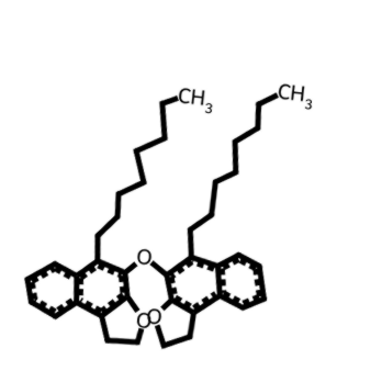 CCCCCCCCc1c(Oc2c3c(c4ccccc4c2CCCCCCCC)CCO3)c2c(c3ccccc13)CCO2